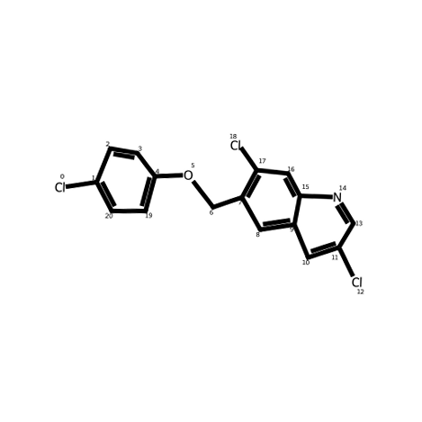 Clc1ccc(OCc2cc3cc(Cl)cnc3cc2Cl)cc1